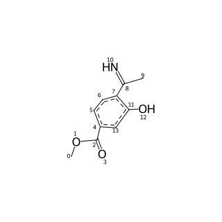 COC(=O)c1ccc(C(C)=N)c(O)c1